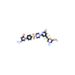 C[C@H]1CNC[C@@H](C(F)(F)c2cc(Cl)nc(N3CCN(S(=O)(=O)c4ccc(N5C[C@H](N)CC5=O)cc4)CC3)c2)O1